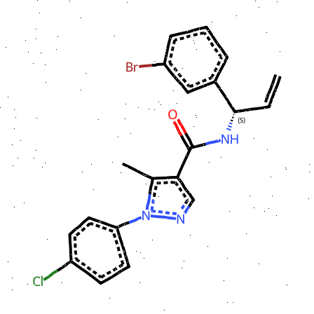 C=C[C@H](NC(=O)c1cnn(-c2ccc(Cl)cc2)c1C)c1cccc(Br)c1